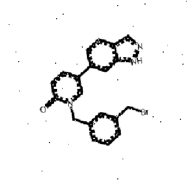 O=c1ccc(-c2ccc3cn[nH]c3c2)cn1Cc1cccc(CBr)c1